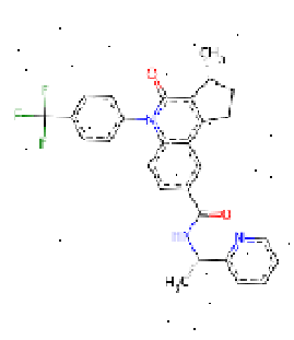 C[C@@H]1CCc2c1c(=O)n(-c1ccc(C(F)(F)F)cc1)c1ccc(C(=O)N[C@@H](C)c3ccccn3)cc21